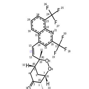 C[C@@H]1C(=O)C[C@H]2C[C@@H]1OO[C@@]2(C)/C=C\c1cc(C(F)(F)F)nc2c(C(F)(F)F)cccc12